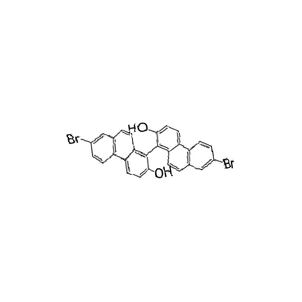 Oc1ccc2c(ccc3cc(Br)ccc32)c1-c1c(O)ccc2c1ccc1cc(Br)ccc12